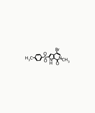 Cc1ccc(S(=O)(=O)c2cc3c(Br)cn(C)c(=O)c3[nH]2)cc1